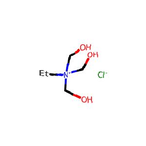 CC[N+](CO)(CO)CO.[Cl-]